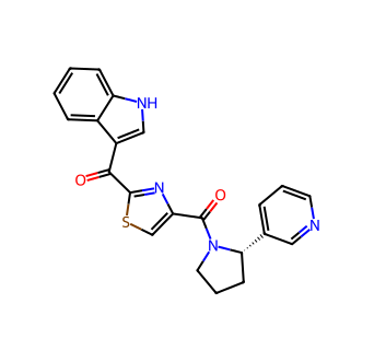 O=C(c1nc(C(=O)N2CCC[C@H]2c2cccnc2)cs1)c1c[nH]c2ccccc12